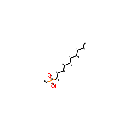 CCCCCCCCCCP(C)(=O)O